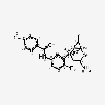 CC1C2[C@@]1(C#N)SC(N)=N[C@]2(C)c1cc(NC(=O)c2ccc(Cl)cn2)ccc1F